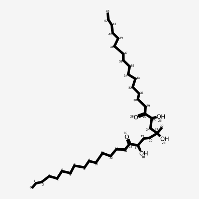 CCCCCCCCCCCCCCCC(=O)C(O)CCC(C)(O)CC(O)C(=O)CCCCCCCCCCCCCCC